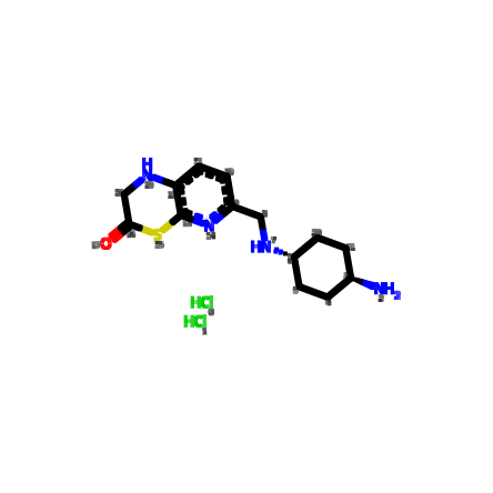 Cl.Cl.N[C@H]1CC[C@H](NCc2ccc3c(n2)SC(=O)CN3)CC1